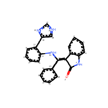 O=C1Nc2ccccc2C1=C(Nc1ccccc1-c1c[nH]cn1)c1ccccc1